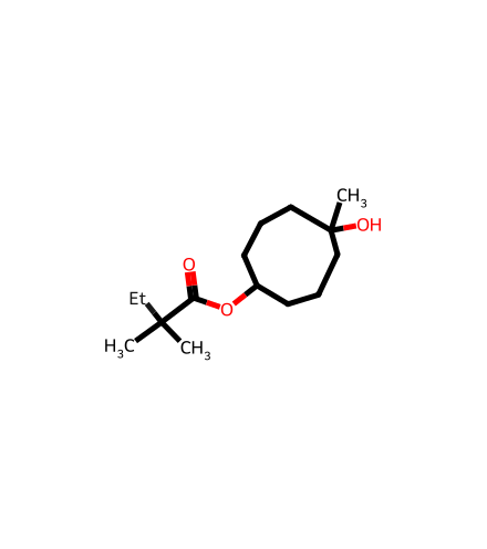 CCC(C)(C)C(=O)OC1CCCC(C)(O)CCC1